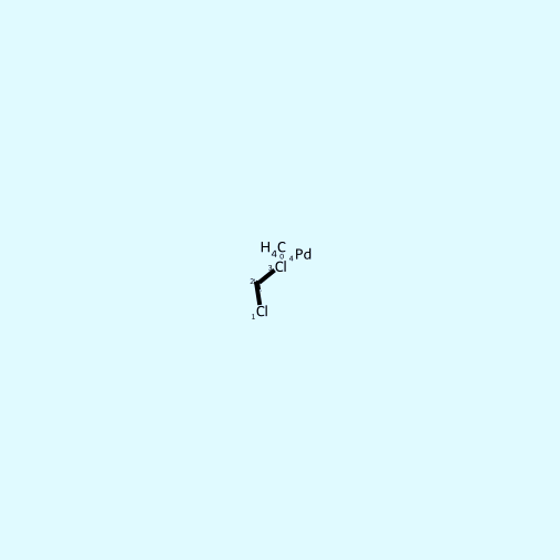 C.ClCCl.[Pd]